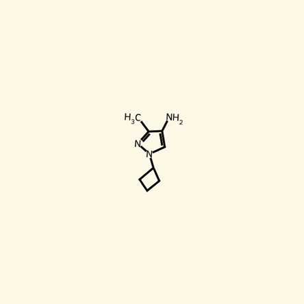 Cc1nn(C2CCC2)cc1N